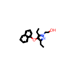 CCc1nn(CCO)c(CC)c1Oc1cccc2ccccc12